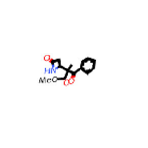 COC(=O)C(C)(C(=O)c1ccccc1)C1CC(=O)N1